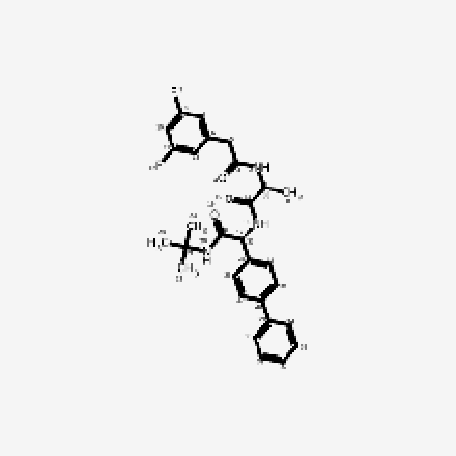 C[C@H](NC(=O)Cc1cc(F)cc(F)c1)C(=O)N[C@H](C(=O)NC(C)(C)C)c1ccc(-c2ccccc2)cc1